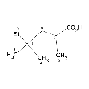 CCC(C)(C)CC(C)C(=O)O